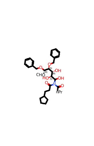 CCCC(=O)N(C(=O)CCC1CCCC1)C(O)[C@@H](O)[C@@H](O)[C@H](OCc1ccccc1)[C@H](C=O)OCc1ccccc1